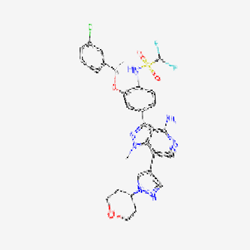 C[C@H](Oc1cc(-c2nn(C)c3c(-c4cnn(C5CCOCC5)c4)cnc(N)c23)ccc1NS(=O)(=O)C(F)F)c1cccc(Cl)c1